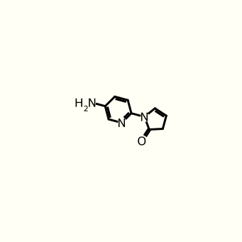 Nc1ccc(N2C=CCC2=O)nc1